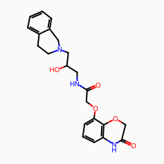 O=C(COc1cccc2c1OCC(=O)N2)NCC(O)CN1CCc2ccccc2C1